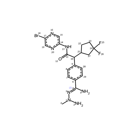 CN(N)/N=C(\N)c1ccc(C(C(=O)Nc2cnc(Br)cn2)C2CCC(F)(F)C2)cc1